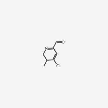 CC1CN=C(C=O)C=C1Cl